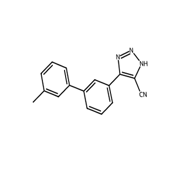 Cc1cccc(-c2cccc(-c3nn[nH]c3C#N)c2)c1